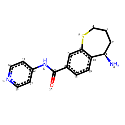 N[C@@H]1CCCSc2cc(C(=O)Nc3ccncc3)ccc21